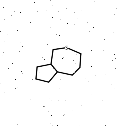 C1CSCC2CCCC2C1